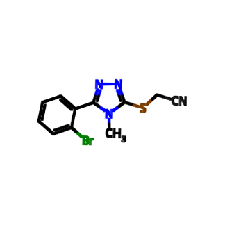 Cn1c(SCC#N)nnc1-c1ccccc1Br